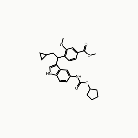 COC(=O)c1ccc(C(CC2CC2)c2c[nH]c3ccc(NC(=O)OC4CCCC4)cc23)c(OC)c1